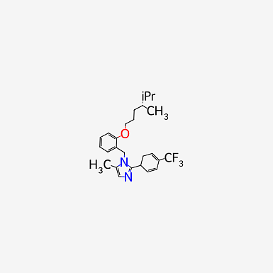 Cc1cnc(C2C=CC(C(F)(F)F)=CC2)n1Cc1ccccc1OCCC[C@@H](C)C(C)C